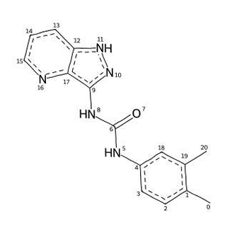 Cc1ccc(NC(=O)Nc2n[nH]c3cccnc23)cc1C